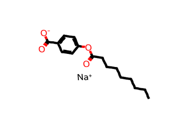 CCCCCCCCC(=O)Oc1ccc(C(=O)[O-])cc1.[Na+]